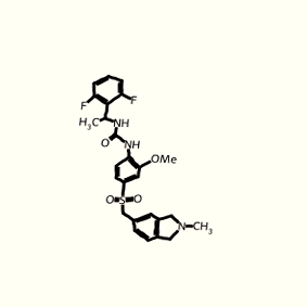 COc1cc(S(=O)(=O)Cc2ccc3c(c2)CN(C)C3)ccc1NC(=O)NC(C)c1c(F)cccc1F